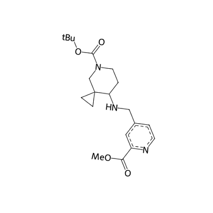 COC(=O)c1cc(CNC2CCN(C(=O)OC(C)(C)C)CC23CC3)ccn1